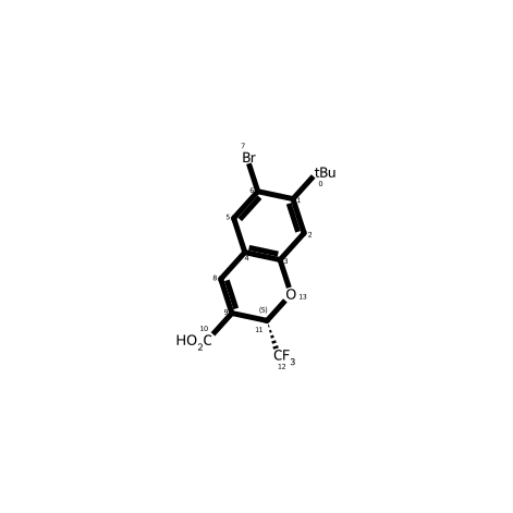 CC(C)(C)c1cc2c(cc1Br)C=C(C(=O)O)[C@@H](C(F)(F)F)O2